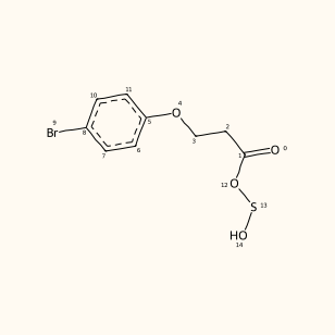 O=C(CCOc1ccc(Br)cc1)OSO